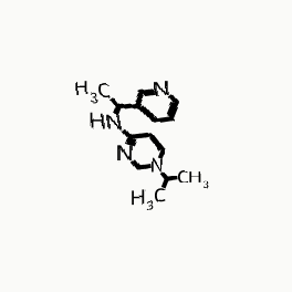 CC(NC1=NCN(C(C)C)C=C1)c1cccnc1